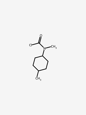 CC1CCC(N(C)C(=O)Cl)CC1